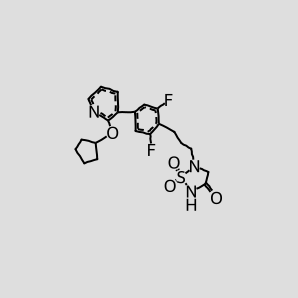 O=C1CN(CCCc2c(F)cc(-c3cccnc3OC3CCCC3)cc2F)S(=O)(=O)N1